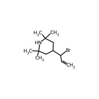 C=CC(Br)C1CC(C)(C)NC(C)(C)C1